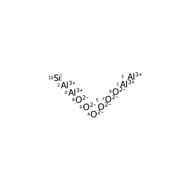 [Al+3].[Al+3].[Al+3].[Al+3].[O-2].[O-2].[O-2].[O-2].[O-2].[O-2].[Si]